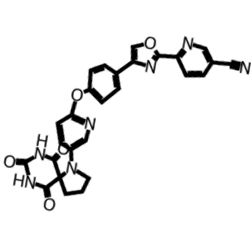 N#Cc1ccc(-c2nc(-c3ccc(Oc4ccc(N5CCCC56C(=O)NC(=O)NC6=O)cn4)cc3)co2)nc1